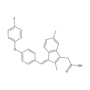 CC1=C(CC(=O)O)c2cc(C)ccc2/C1=C\c1ccc(Oc2ccc(F)cc2)cc1